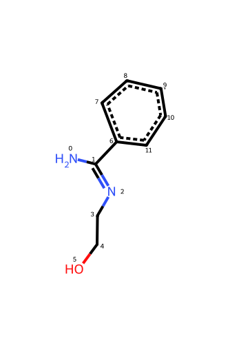 NC(=NCCO)c1cc[c]cc1